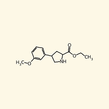 CCOC(=O)C1CC(c2cccc(OC)c2)CN1